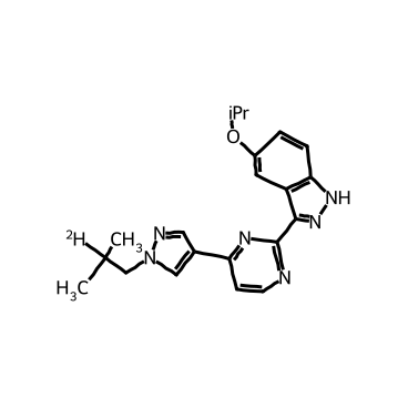 [2H]C(C)(C)Cn1cc(-c2ccnc(-c3n[nH]c4ccc(OC(C)C)cc34)n2)cn1